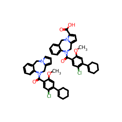 COc1cc(C2=CCCCC2)c(Cl)cc1C(=O)N1Cc2ccc(C(=O)O)n2Cc2ccccc21.COc1cc(C2=CCCCC2)c(Cl)cc1C(=O)N1Cc2cccn2Cc2ccccc21